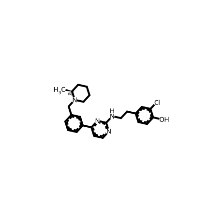 C[C@H]1CCCCN1Cc1cccc(-c2ccnc(NCCc3ccc(O)c(Cl)c3)n2)c1